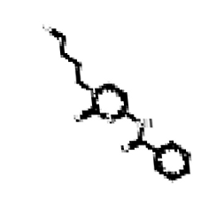 O=CCCCn1ccc(NC(=O)c2ccccc2)nc1=O